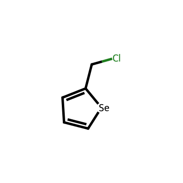 ClCc1ccc[se]1